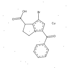 O=C(c1ccccc1)c1cc(Br)c2n1CCC2C(=O)O.[Cu]